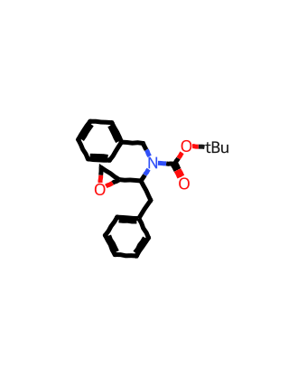 CC(C)(C)OC(=O)N(Cc1ccccc1)C(Cc1ccccc1)C1CO1